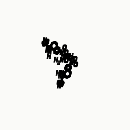 NC(=O)[C@]1(NCC2COC(=O)N2c2ccc3c(c2)CCCc2c(-c4ccno4)n[nH]c2-3)CN(c2ccc3c(c2)CCCc2c(-c4ccno4)n[nH]c2-3)C(=O)O1